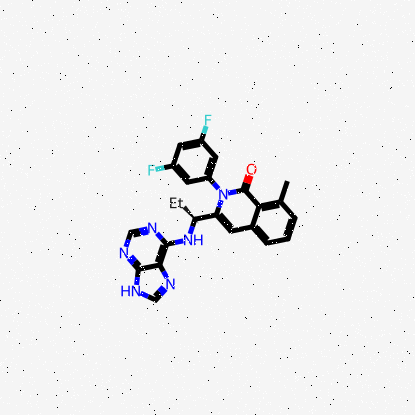 CC[C@H](Nc1ncnc2[nH]cnc12)c1cc2cccc(C)c2c(=O)n1-c1cc(F)cc(F)c1